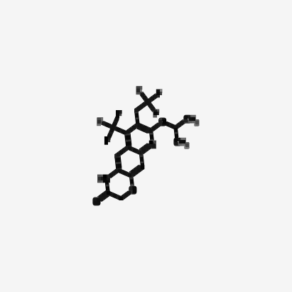 CC(C)Oc1nc2cc3c(cc2c(C(F)(F)F)c1CC(F)(F)F)NC(=O)CO3